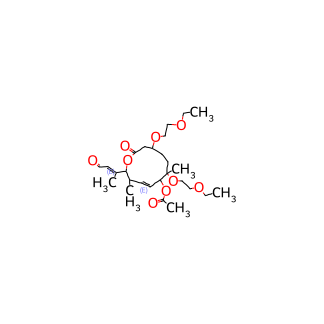 CCOCCOC1CCC(C)(OCCOCC)C(OC(C)=O)/C=C/C(C)C(/C(C)=C/C=O)OC(=O)C1